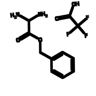 NC(N)C(=O)OCc1ccccc1.O=C(O)C(F)(F)F